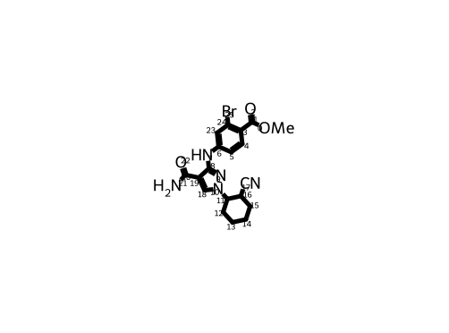 COC(=O)c1ccc(Nc2nn(C3CCCCC3C#N)cc2C(N)=O)cc1Br